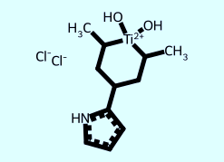 C[CH]1CC(c2ccc[nH]2)C[CH](C)[Ti+2]1([OH])[OH].[Cl-].[Cl-]